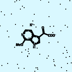 COc1nccc2c(C(=O)C(=O)[O-])c[nH]c12.[K+]